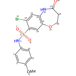 COc1ccc(NS(=O)(=O)c2cc3c(cc2Br)NC(=O)CCO3)cc1